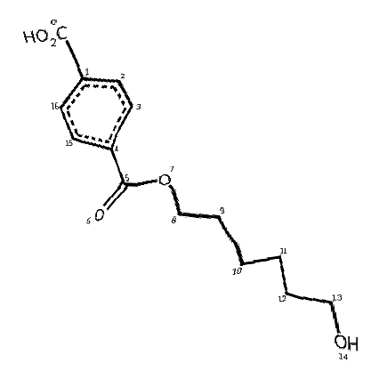 O=C(O)c1ccc(C(=O)OCCCCCCO)cc1